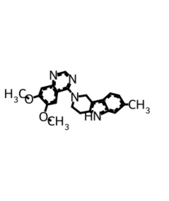 COc1cc2ncnc(N3CCc4[nH]c5cc(C)ccc5c4C3)c2cc1OC